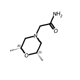 C[C@@H]1CN(CC(N)=O)C[C@H](C)O1